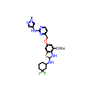 COc1cc(OCc2ccnc(Nc3cnn(C)c3)n2)cc2c1NC(NC1CCCC(F)(F)C1)S2